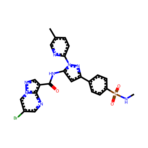 CNS(=O)(=O)c1ccc(-c2cc(NC(=O)c3cnn4cc(Br)cnc34)n(-c3ccc(C)cn3)n2)cc1